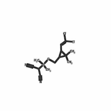 CC1(C)C(C=C(Cl)Cl)C1CO[Si](C)(C)C(C#N)C#N